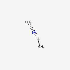 CCCCCCC[C@H]1CC[C@H](c2ccc(-c3ncc([C@H]4CC[C@H](CCCCC)CC4)cn3)cc2)CC1